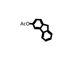 CC(=O)Oc1ccc2c(c1)-c1ccccc1C2